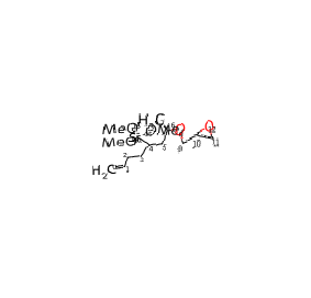 C=CCCC(CC(C)OCC1CO1)[Si](OC)(OC)OC